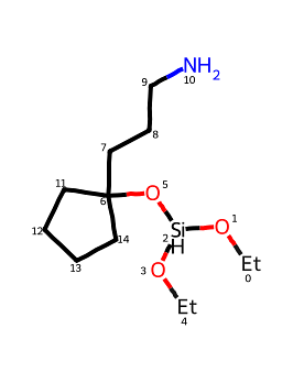 CCO[SiH](OCC)OC1(CCCN)CCCC1